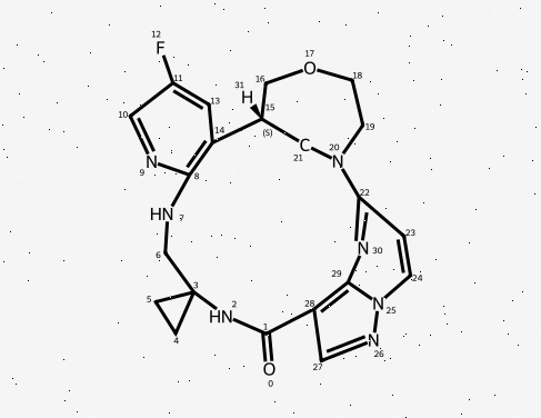 O=C1NC2(CC2)CNc2ncc(F)cc2[C@@H]2COCCN(C2)c2ccn3ncc1c3n2